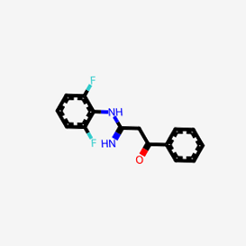 N=C(CC(=O)c1ccccc1)Nc1c(F)cccc1F